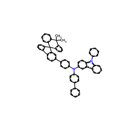 CC1(C)c2ccccc2C2(c3ccccc3-c3ccc(-c4ccc(N(c5ccc(-c6ccccc6)cc5)c5ccc6c(c5)c5ccccc5n6-c5ccccc5)cc4)cc32)c2ccccc21